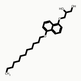 CCCCCCCCCCCCOc1cccc2c(OCC(O)CO)cccc12